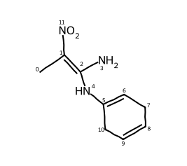 CC(=C(N)NC1=CCC=CC1)[N+](=O)[O-]